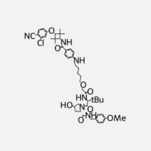 COc1ccc(CNC(=O)[C@@H]2C[C@@H](O)CN2C(=O)[C@@H](NC(=O)COCCCCCNc2ccc(C(=O)N[C@H]3C(C)(C)[C@H](Oc4ccc(C#N)c(Cl)c4)C3(C)C)cc2)C(C)(C)C)cc1